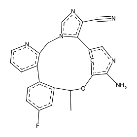 CC1Oc2cc(cnc2N)-c2c(C#N)ncn2Cc2ncccc2-c2ccc(F)cc21